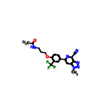 CC(=O)NCCCOc1ccc(-c2cc3c(nnn3C)c(C#N)n2)cc1C(F)(F)F